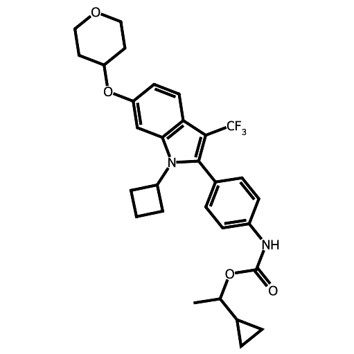 CC(OC(=O)Nc1ccc(-c2c(C(F)(F)F)c3ccc(OC4CCOCC4)cc3n2C2CCC2)cc1)C1CC1